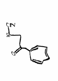 N#C[Se]CC(=O)c1ccccc1